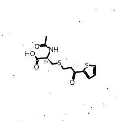 CC(=O)N[C@@H](CSCCC(=O)c1cccs1)C(=O)O